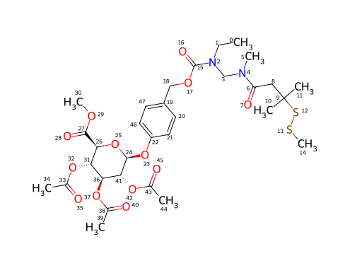 CCN(CN(C)C(=O)CC(C)(C)SSC)C(=O)OCc1ccc(O[C@@H]2O[C@H](C(=O)OC)[C@@H](OC(C)=O)[C@H](OC(C)=O)[C@H]2OC(C)=O)cc1